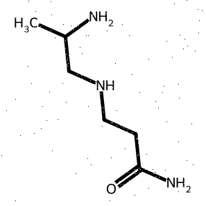 CC(N)CNCCC(N)=O